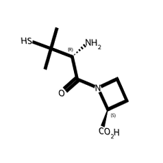 CC(C)(S)[C@H](N)C(=O)N1CC[C@H]1C(=O)O